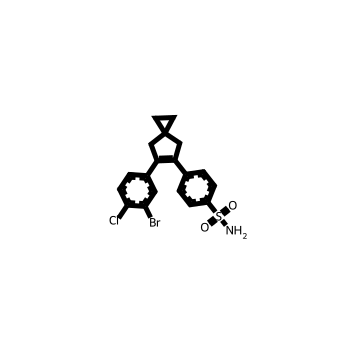 NS(=O)(=O)c1ccc(C2=C(c3ccc(Cl)c(Br)c3)CC3(CC3)C2)cc1